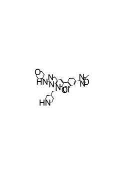 Cc1nc(-c2ccc(-c3cc4cnc(NC5CCOCC5)nc4n(CCC4CCNCC4)c3=O)c(Cl)c2)no1